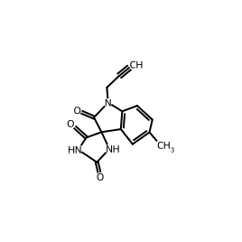 C#CCN1C(=O)C2(NC(=O)NC2=O)c2cc(C)ccc21